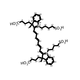 CC1(CCCC(=O)O)C(/C=C/C=C/C=C/C=C2\N(CCCCS(=O)(=O)O)c3ccccc3C2(C)CCCC(=O)O)=[N+](CCCCS(=O)(=O)O)c2ccccc21